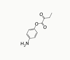 CCC(=O)C(=O)Oc1ccc(N)cc1